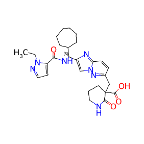 CCn1nccc1C(=O)N[C@H](c1cn2nc(CC3(C(=O)O)CCCNC3=O)ccc2n1)C1CCCCCC1